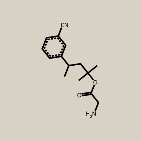 CC(CC(C)(C)OC(=O)CN)c1cccc(C#N)c1